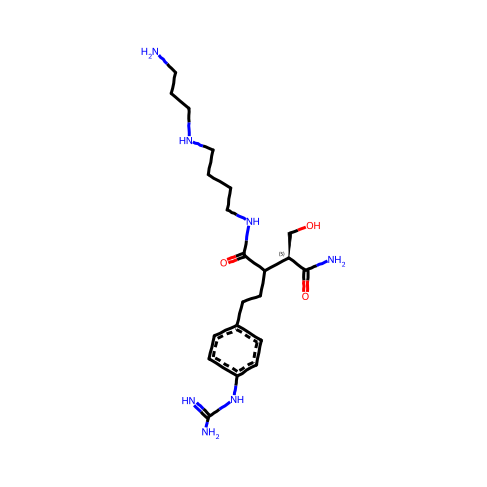 N=C(N)Nc1ccc(CCC(C(=O)NCCCCNCCCN)[C@@H](CO)C(N)=O)cc1